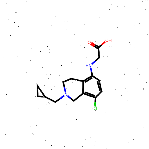 O=C(O)CNc1ccc(Cl)c2c1CCN(CC1CC1)C2